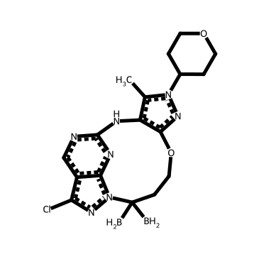 BC1(B)CCOc2nn(C3CCOCC3)c(C)c2Nc2ncc3c(Cl)nn1c3n2